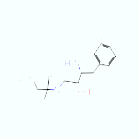 CC(C)COCC(C)(C)NC[C@@H](O)[C@@H](N)Cc1ccccc1